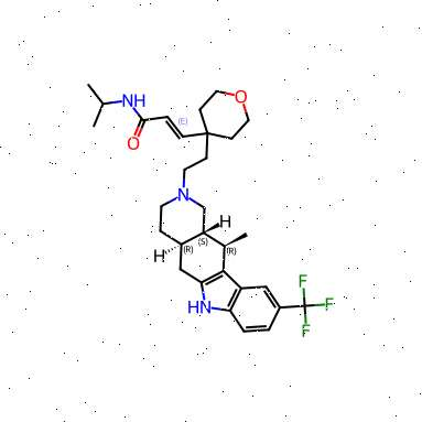 CC(C)NC(=O)/C=C/C1(CCN2CC[C@@H]3Cc4[nH]c5ccc(C(F)(F)F)cc5c4[C@H](C)[C@H]3C2)CCOCC1